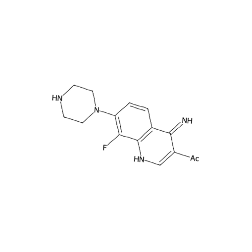 CC(=O)c1c[nH]c2c(F)c(N3CCNCC3)ccc2c1=N